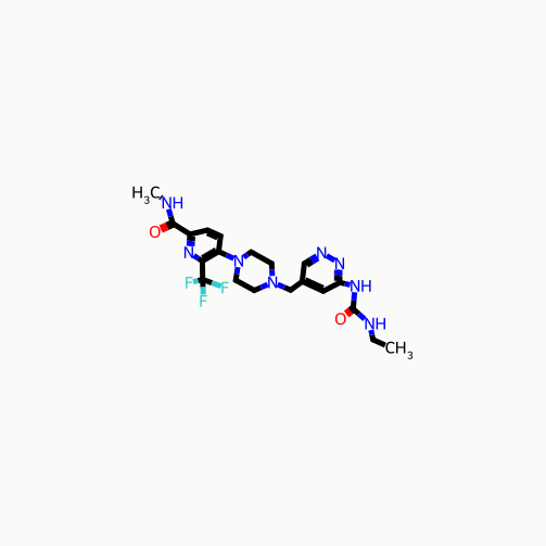 CCNC(=O)Nc1cc(CN2CCN(c3ccc(C(=O)NC)nc3C(F)(F)F)CC2)cnn1